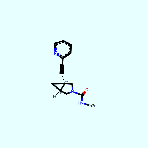 CCCNC(=O)N1C[C@H]2C[C@@]2(C#Cc2ccccn2)C1